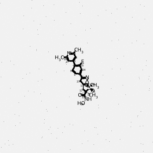 Cc1cc(-c2ccc(C3=NO[C@@H](C[C@](C)(C(=O)NO)S(C)(=O)=O)C3)cc2F)cc(C)n1